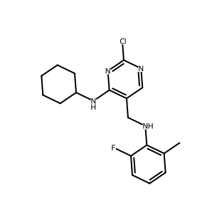 Cc1cccc(F)c1NCc1cnc(Cl)nc1NC1CCCCC1